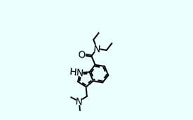 CCN(CC)C(=O)c1cccc2c(CN(C)C)c[nH]c12